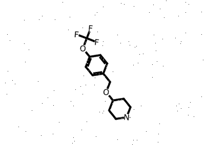 FC(F)(F)Oc1ccc(COC2CC[N]CC2)cc1